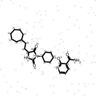 NC(=O)c1cccnc1O[C@H]1CC[C@H](N2C(=O)NC(CCC3CCCCCC3)C2=O)CC1